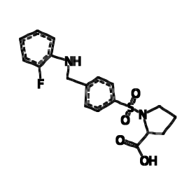 O=C(O)C1CCCN1S(=O)(=O)c1ccc(CNc2ccccc2F)cc1